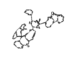 c1ccc(-c2nc(-c3ccc4c(c3)C3(c5ccccc5S4)c4ccccc4-c4ccccc43)nc(-c3ccc4c(c3)oc3ccccc34)n2)cc1